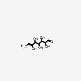 CC=C(O)C(O)C(O)C(O)C(O)C=O